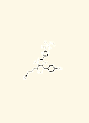 CS(=O)(=O)Nc1nc(C(=O)NC(Cc2ccc(O)cc2)C(O)C(O)CCCC#N)cs1